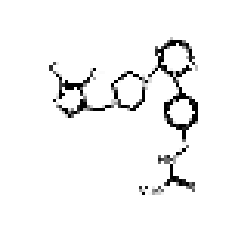 CNC(=S)NCc1ccc(-c2nccnc2N2CCN(Cc3cnn(C)c3C)CC2)cc1